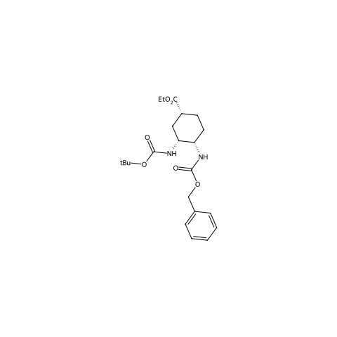 CCOC(=O)[C@@H]1CC[C@H](NC(=O)OCc2ccccc2)[C@H](NC(=O)OC(C)(C)C)C1